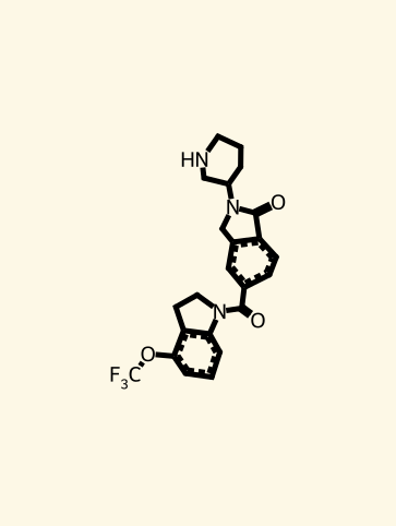 O=C(c1ccc2c(c1)CN(C1CCCNC1)C2=O)N1CCc2c(OC(F)(F)F)cccc21